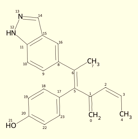 C=C(/C=C\C)/C(=C(\C)c1ccc2[nH]ncc2c1)c1ccc(O)cc1